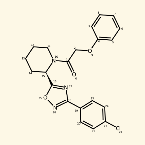 O=C(COc1ccccc1)N1CCCC[C@@H]1c1nc(-c2ccc(Cl)cc2)no1